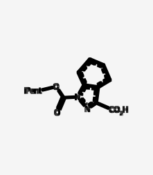 CCCC(C)OC(=O)n1nc(C(=O)O)c2ccccc21